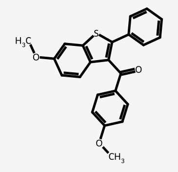 COc1ccc(C(=O)c2c(-c3ccccc3)sc3cc(OC)ccc23)cc1